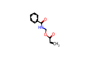 C=CC(=O)OCNC(=O)c1ccccc1